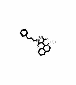 NC(=O)C(C(=O)NCCCc1ccccc1)C1C2CCCCC2CCN1C(=O)O